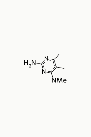 CNc1nc(N)nc(C)c1C